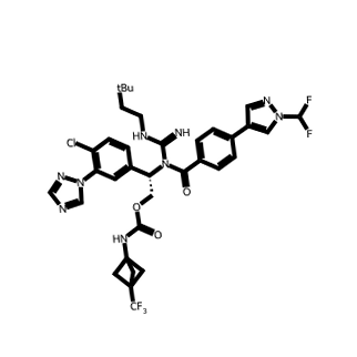 CC(C)(C)CCNC(=N)N(C(=O)c1ccc(-c2cnn(C(F)F)c2)cc1)[C@H](COC(=O)NC12CC(C(F)(F)F)(C1)C2)c1ccc(Cl)c(-n2cncn2)c1